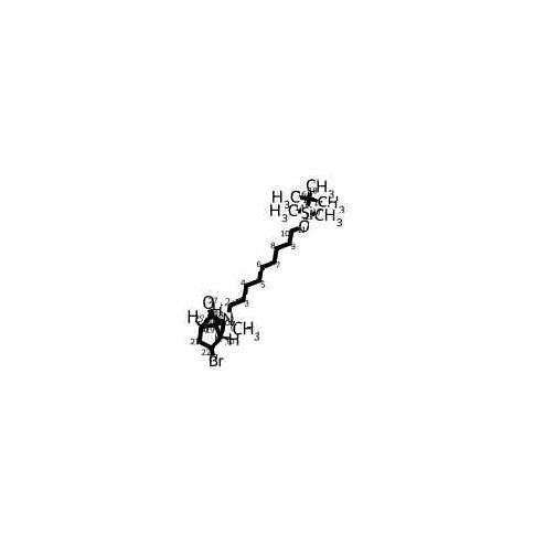 CN(CCCCCCCCCO[Si](C)(C)C(C)(C)C)[C@H]1[C@@H]2CC(Br)[C@H]1CC2=O